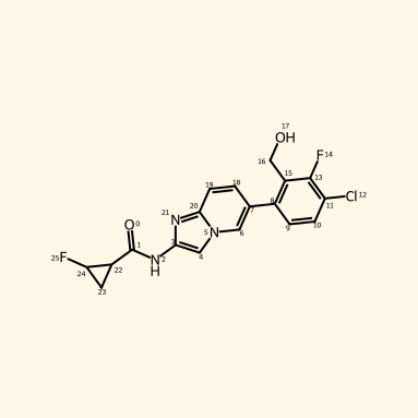 O=C(Nc1cn2cc(-c3ccc(Cl)c(F)c3CO)ccc2n1)C1CC1F